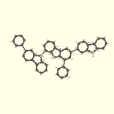 c1ccc(-c2ccc3c4ccccc4n(-c4cccc5c4sc4c(-c6ccccc6)cc(-c6ccc7c(c6)oc6ccccc67)cc45)c3c2)cc1